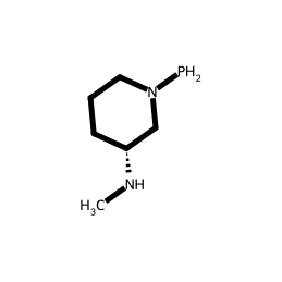 CN[C@@H]1CCCN(P)C1